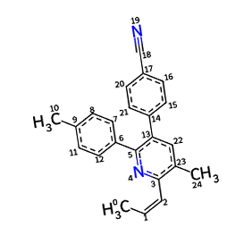 C/C=C\c1nc(-c2ccc(C)cc2)c(-c2ccc(C#N)cc2)cc1C